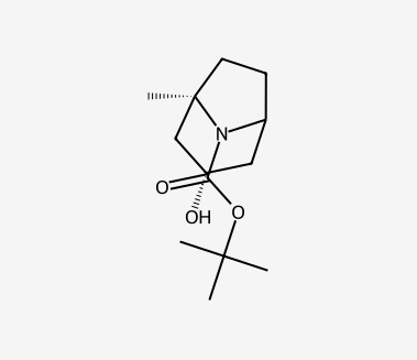 CC(C)(C)OC(=O)N1C2CC[C@]1(C)C[C@@H](O)C2